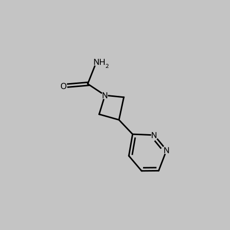 NC(=O)N1CC(c2cccnn2)C1